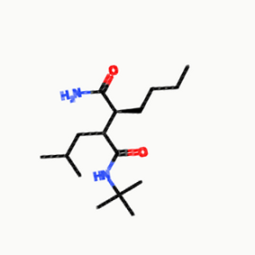 CCCC[C@H](C(N)=O)C(CC(C)C)C(=O)NC(C)(C)C